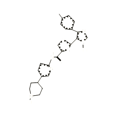 CC(C)n1cnc(-c2ccc(F)cc2)c1-c1nc(C(=O)Nc2ccc(C3CCN(C)CC3)cn2)cs1